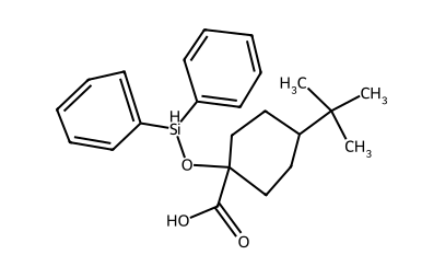 CC(C)(C)C1CCC(O[SiH](c2ccccc2)c2ccccc2)(C(=O)O)CC1